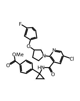 COC(=O)c1ccc(C2(NC(=O)c3cc(Cl)cnc3N3CCC(Oc4cccc(F)c4)C3)CC2)cc1